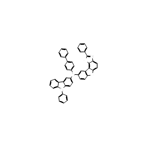 c1ccc(-c2ccc(N(c3ccc4oc5ccc6nc(-c7ccccc7)oc6c5c4c3)c3ccc4c(c3)c3ccccc3n4-c3ccccc3)cc2)cc1